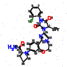 CC(C)C1C(=O)N(c2ccccc2F)C(=O)N1c1cn2c(n1)-c1ccc(N3CCC[C@H]3C(N)=O)cc1OCC2